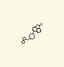 O=C1Cc2ccc(N3CCCN(CC4CCC45CCC5)CC3)c3cccc1c23